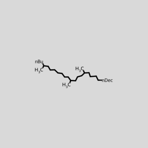 CCCCCCCCCCCCCCC(C)CCCC(C)CCCCCCCC(C)CCCC